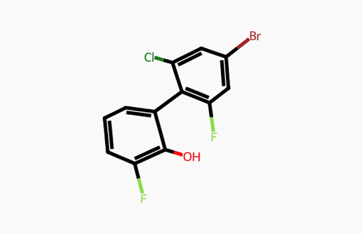 Oc1c(F)cccc1-c1c(F)cc(Br)cc1Cl